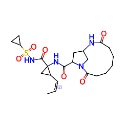 C/C=C\C1CC1(NC(=O)C1CC2CN1C(=O)CCCCCC(=O)N2)C(=O)NS(=O)(=O)C1CC1